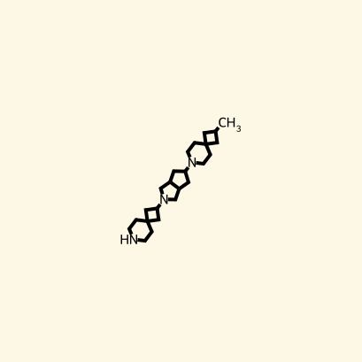 CC1CC2(CCN(C3CC4CN(C5CC6(CCNCC6)C5)CC4C3)CC2)C1